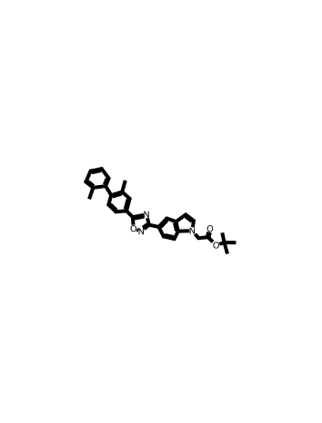 Cc1ccccc1-c1ccc(-c2nc(-c3ccc4c(ccn4CC(=O)OC(C)(C)C)c3)no2)cc1C